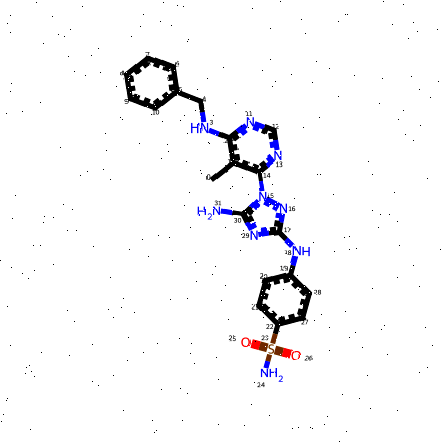 Cc1c(NCc2ccccc2)ncnc1-n1nc(Nc2ccc(S(N)(=O)=O)cc2)nc1N